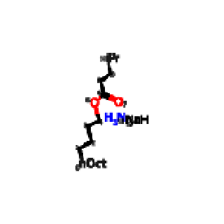 CCCCCCCCCCCCOC(=O)CCC(C)C.N.[NaH]